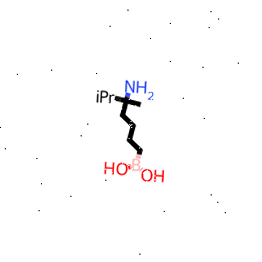 CC(C)C(C)(N)CCCCB(O)O